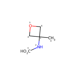 CC1(NC(=O)O)COC1